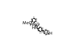 COc1ccccc1NC(=O)Nc1ccc(N2CCNCC2)cc1